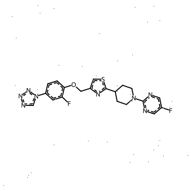 Fc1cnc(N2CCC(c3nc(COc4ccc(-n5cnnn5)cc4F)cs3)CC2)nc1